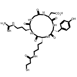 N=C(N)NCCC[C@@H]1NC(=O)[C@@H](CCCCNC(=O)CCS)NC(=O)[C@@H](Cc2ccc(O)cc2)NC(=O)[C@H](CC(=O)O)NC(=O)CNC1=O